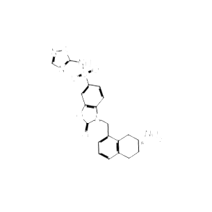 N[C@@H]1CCc2cccc(Cn3c(=O)oc4cc(S(=O)(=O)Nc5ncns5)ccc43)c2C1